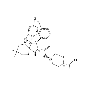 CC(O)[C@@H]1CC[C@@H](NC(=O)[C@@H]2NC3(CCC(C)(C)CC3)[C@@]3(C(=O)Nc4cc(Cl)ccc43)[C@H]2c2ccnc(Cl)c2)CO1